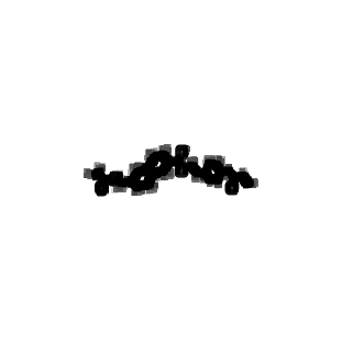 C=CC(=O)Cc1ccc(/C=C/OC(=O)c2ccc3cc(COC(=O)C=C)ccc3c2)cc1